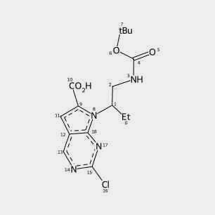 CCC(CNC(=O)OC(C)(C)C)n1c(C(=O)O)cc2cnc(Cl)nc21